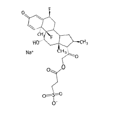 C[C@@H]1CC2C3C[C@H](F)C4=CC(=O)C=C[C@]4(C)[C@@]3(F)[C@@H](O)C[C@@]2(C)[C@H]1C(=O)COC(=O)CCS(=O)(=O)[O-].[Na+]